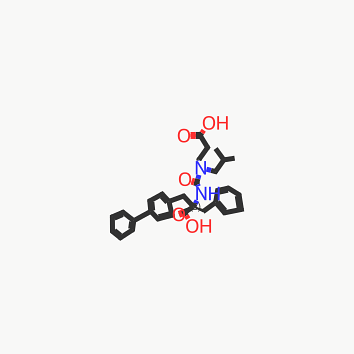 CC(C)CN(CCC(=O)O)C(=O)N[C@@](Cc1ccccc1)(Cc1ccc(-c2ccccc2)cc1)C(=O)O